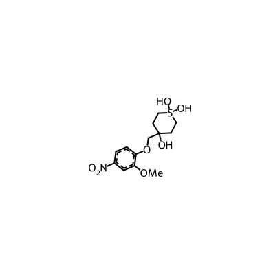 COc1cc([N+](=O)[O-])ccc1OCC1(O)CCS(O)(O)CC1